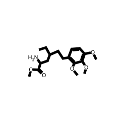 CCC(CCc1ccc(OC)c(OC)c1OC)CC(N)C(=O)OC